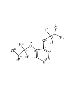 FC(Cl)C(F)(F)Oc1ccccc1OC(F)(F)C(F)Cl